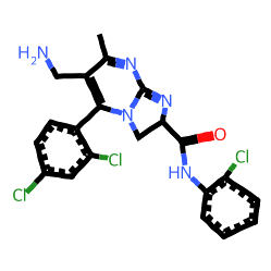 CC1=NC2=NC(C(=O)Nc3ccccc3Cl)CN2C(c2ccc(Cl)cc2Cl)=C1CN